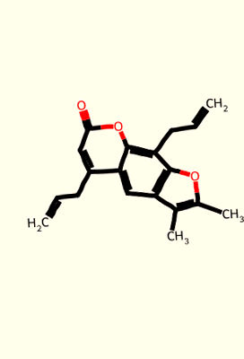 C=CCc1cc(=O)oc2c(CC=C)c3oc(C)c(C)c3cc12